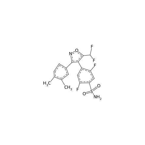 Cc1ccc(-c2noc(C(F)F)c2-c2cc(F)c(S(N)(=O)=O)cc2F)cc1C